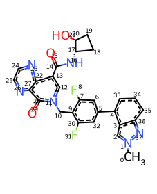 Cn1cc2c(-c3cc(F)c(Cn4cc(C(=O)N[C@H]5CC[C@@H]5O)c5nccnc5c4=O)c(F)c3)cccc2n1